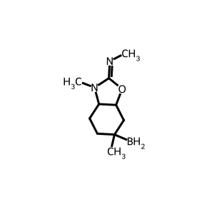 BC1(C)CCC2C(C1)O/C(=N\C)N2C